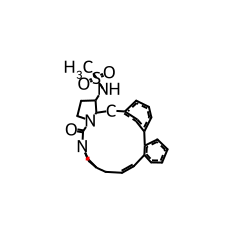 CS(=O)(=O)NC1CCN2C(=O)N3CC(C/C=C\c4ccccc4-c4cccc(c4)CC12)C3